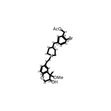 COC1(C)c2cc(CCN3CCC(Cc4ccc(Br)c(COC(C)=O)c4)CC3)ccc2OCC1O